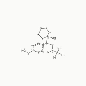 [2H]C([2H])([2H])N(C)CC(c1ccc(CO)cc1)C1(O)CCCCC1